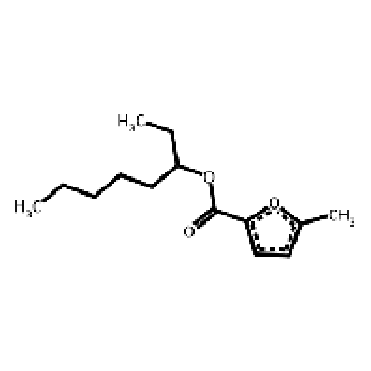 CCCCCC(CC)OC(=O)c1ccc(C)o1